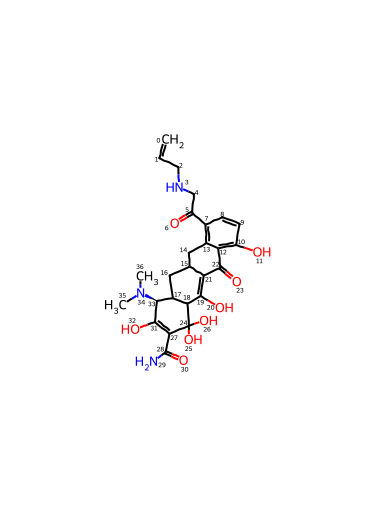 C=CCNCC(=O)c1ccc(O)c2c1CC1CC3C(C(O)=C1C2=O)C(O)(O)C(C(N)=O)=C(O)[C@H]3N(C)C